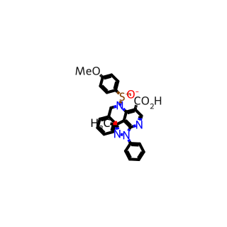 COc1ccc([S+]([O-])N(Cc2ccccc2)c2c(C(=O)O)cnc3c2c(C)nn3-c2ccccc2)cc1